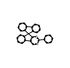 c1ccc(-c2ncc3c(n2)C2(c4ccccc4-c4ccccc42)c2ccccc2-3)cc1